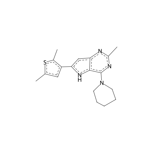 Cc1nc(N2CCCCC2)c2[nH]c(-c3cc(C)sc3C)cc2n1